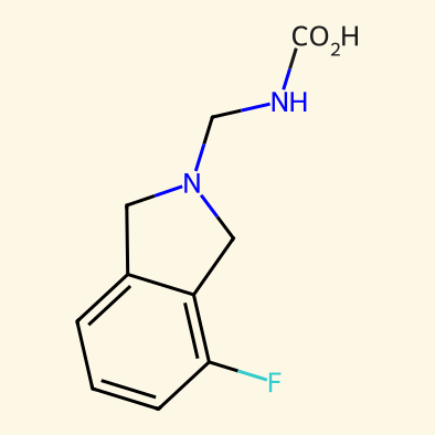 O=C(O)NCN1Cc2cccc(F)c2C1